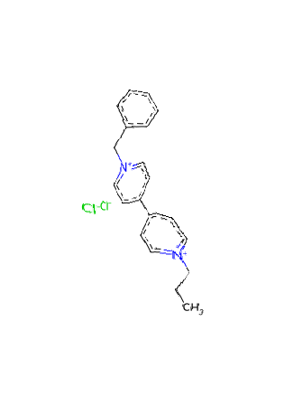 CCC[n+]1ccc(-c2cc[n+](Cc3ccccc3)cc2)cc1.[Cl-].[Cl-]